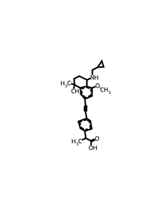 COc1cc(C#Cc2ccc(C(C)C(=O)O)cc2)cc2c1C(NCC1CC1)CCC2(C)C